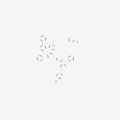 C=CC1=CC=C(OCCCCCCC2(c3ccccc3)c3ccccc3-c3ccc(N(C4=CCC(C5=Cc6c(n(-c7ccccc7)c7c6=CC(c6ccc(C=C)cc6)CC=7)CC5)C=C4)c4ccccc4)cc32)CC1